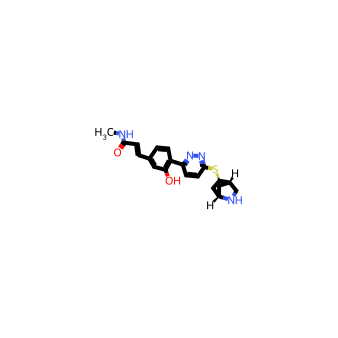 CNC(=O)/C=C/c1ccc(-c2ccc(S[C@@H]3C[C@@H]4C[C@H]3CN4)nn2)c(O)c1